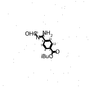 CC(C)COC(=O)c1ccc(C(N)=NC=O)cc1